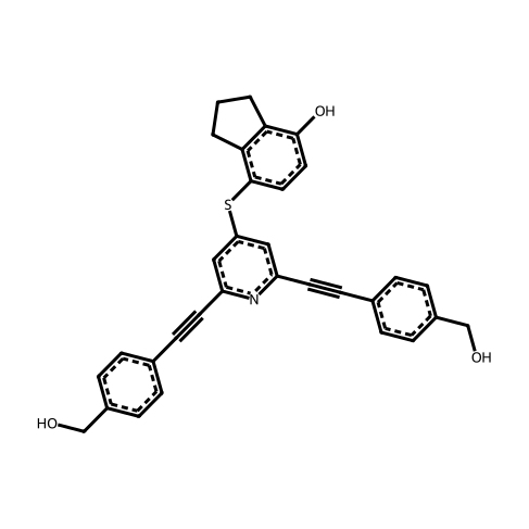 OCc1ccc(C#Cc2cc(Sc3ccc(O)c4c3CCC4)cc(C#Cc3ccc(CO)cc3)n2)cc1